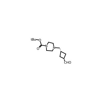 CC(C)(C)OC(=O)N1CCN(C[C@H]2C[C@H](C=O)C2)CC1